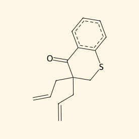 C=CCC1(CC=C)CSc2ccccc2C1=O